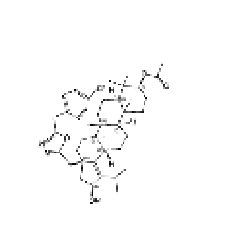 CC(=O)O[C@H]1CCC2(C)[C@H]3CC[C@@H]4C5=C(C(C)C)[C@@H](O)C[C@]5(Cc5nnc(Cc6ccc(Cl)cc6)o5)CC[C@@]4(C)[C@]3(C)CC[C@H]2C1(C)C